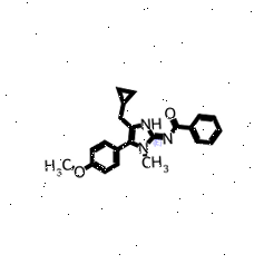 COc1ccc(-c2c(CC3CC3)[nH]/c(=N\C(=O)c3ccccc3)n2C)cc1